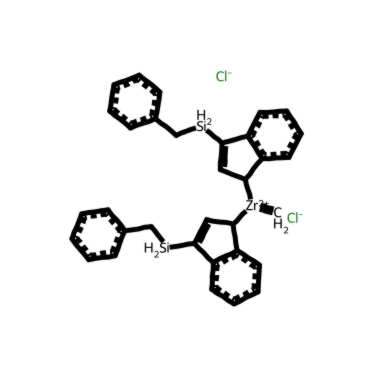 [CH2]=[Zr+2]([CH]1C=C([SiH2]Cc2ccccc2)c2ccccc21)[CH]1C=C([SiH2]Cc2ccccc2)c2ccccc21.[Cl-].[Cl-]